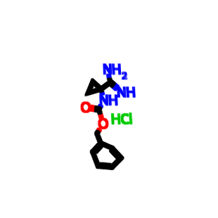 Cl.N=C(N)C1(NC(=O)OCc2ccccc2)CC1